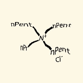 CCCCC[N+](CCC)(CCCCC)CCCCC.[Cl-]